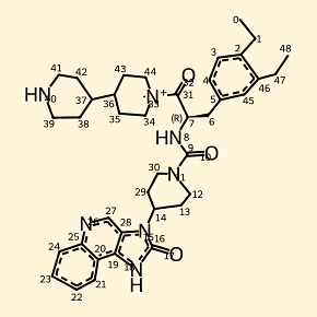 CCc1ccc(C[C@@H](NC(=O)N2CCC(n3c(=O)[nH]c4c5ccccc5ncc43)CC2)C(=O)[N+]2CCC(C3CCNCC3)CC2)cc1CC